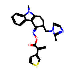 C=C(C(=O)O/N=C1/c2c(n(C)c3ccccc23)CCC1Cn1ccnc1C)c1ccsc1